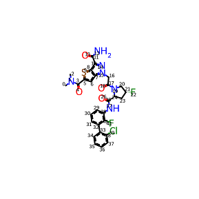 CN(C)C(=O)c1cc2c(s1)c(C(N)=O)nn2CC(=O)N1C[C@H](F)C[C@H]1C(=O)Nc1cccc(-c2ccccc2Cl)c1F